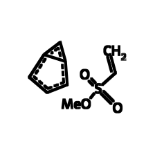 C=CS(=O)(=O)OC.c1cc2cc-2c1